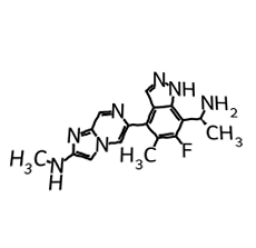 CNc1cn2cc(-c3c(C)c(F)c([C@H](C)N)c4[nH]ncc34)ncc2n1